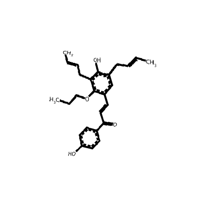 CC=CCc1cc(C=CC(=O)c2ccc(O)cc2)c(OCCC)c(CC=CC)c1O